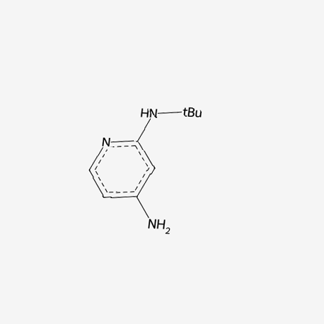 CC(C)(C)Nc1cc(N)ccn1